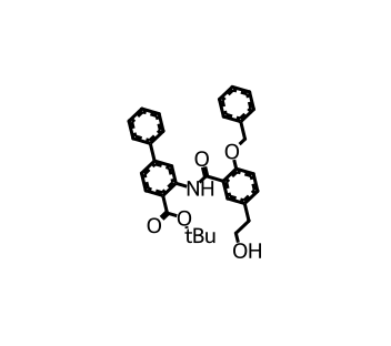 CC(C)(C)OC(=O)c1ccc(-c2ccccc2)cc1NC(=O)c1cc(CCO)ccc1OCc1ccccc1